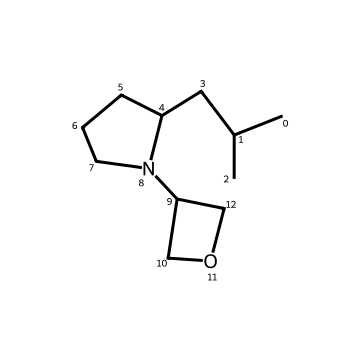 CC(C)CC1CCCN1C1COC1